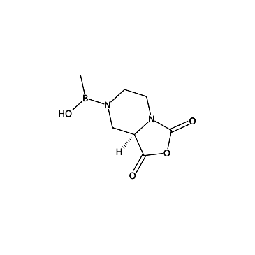 CB(O)N1CCN2C(=O)OC(=O)[C@H]2C1